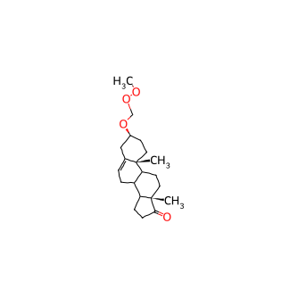 COOCO[C@H]1CC[C@@]2(C)C(=CCC3C2CC[C@]2(C)C(=O)CCC32)C1